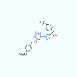 COc1ccc(COc2cc(-n3cc(C(C)(O)c4ccc(C(F)(F)F)cc4F)cn3)nc(C)n2)cc1